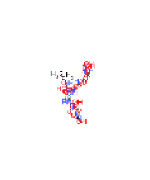 CC(C)Cc1ccc(CC(=O)NCCCC[C@H](NC(=O)[C@H](CCCCNC(=S)Nc2cc(CN3CCOCCOCCN(Cc4cccc(C(=O)O)n4)CCOCCOCC3)nc(C(=O)O)c2)NC(=O)CCOCCOCCOCCNC(=O)COc2ccc3c(C(=O)NCC(=O)N4CCC[C@H]4B(O)O)ccnc3c2)C(=O)O)cc1